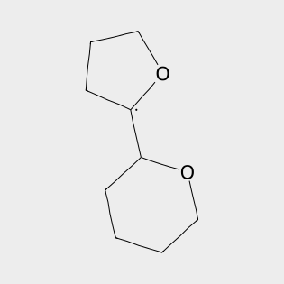 C1CCC([C]2CCCO2)OC1